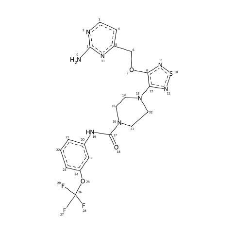 Nc1nccc(COc2nsnc2N2CCN(C(=O)Nc3cccc(OC(F)(F)F)c3)CC2)n1